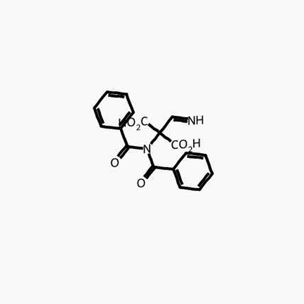 N=CC(C(=O)O)(C(=O)O)N(C(=O)c1ccccc1)C(=O)c1ccccc1